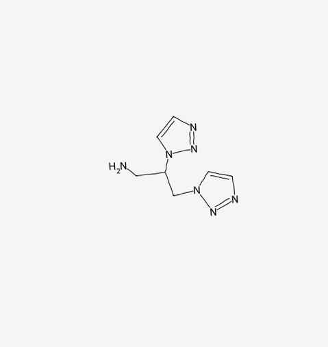 NCC(Cn1ccnn1)n1ccnn1